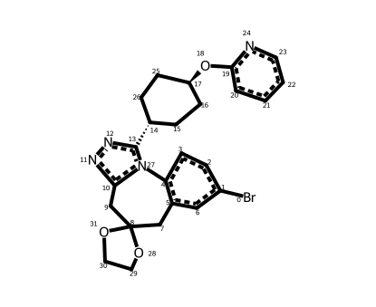 Brc1ccc2c(c1)CC1(Cc3nnc([C@H]4CC[C@H](Oc5ccccn5)CC4)n3-2)OCCO1